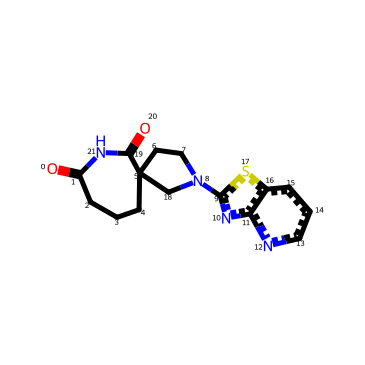 O=C1CCCC2(CCN(c3nc4ncccc4s3)C2)C(=O)N1